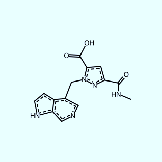 CNC(=O)c1cc(C(=O)O)n(Cc2cncc3[nH]ccc23)n1